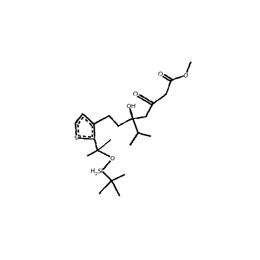 COC(=O)CC(=O)CC(O)(CCc1ccsc1C(C)(C)O[SiH2]C(C)(C)C)C(C)C